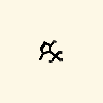 CCN1C=CN(C)C1C(C#N)(C#N)C#N